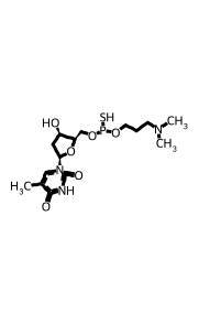 Cc1cn([C@H]2C[C@@H](O)[C@@H](COP(S)OCCCN(C)C)O2)c(=O)[nH]c1=O